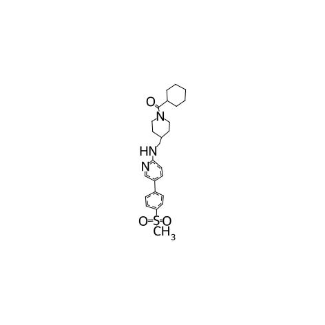 CS(=O)(=O)c1ccc(-c2ccc(NCC3CCN(C(=O)C4CCCCC4)CC3)nc2)cc1